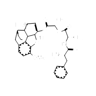 COc1ccc2c3c1O[C@@H]1C(OC(=O)[C@H](C)OC(=O)[C@H](C)NC(=O)[C@@H](N)Cc4ccccc4)=CC[C@]4(O)[C@@H](CCC[C@@]314)C2